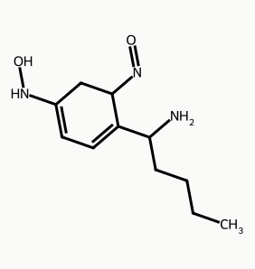 CCCCC(N)C1=CC=C(NO)CC1N=O